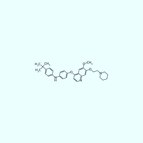 COc1cc2c(Oc3ccc(Nc4ccc(C(C)(C)C)cc4)cc3)ccnc2cc1OCCN1CCCCC1